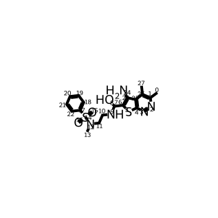 Cc1nnc2sc(C(O)NCCN(C)S(=O)(=O)c3ccccc3)c(N)c2c1C